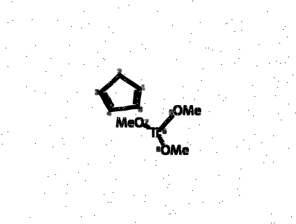 C1=CCC=C1.C[O][Ti]([O]C)[O]C